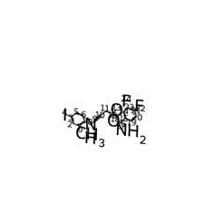 Cc1cc(I)ccc1NC#CCCOc1c(C(N)=O)ccc(F)c1F